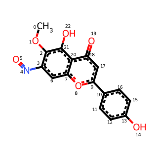 COc1c(N=O)cc2oc(-c3ccc(O)cc3)cc(=O)c2c1O